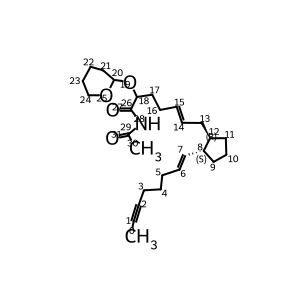 CC#CCCCC=C[C@H]1CCC[C@@H]1CC=CCCC(OC1CCCCO1)C(=O)NC(C)=O